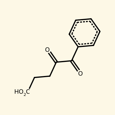 O=C(O)CCC(=O)C(=O)c1ccccc1